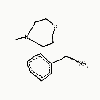 CN1CCOCC1.NCc1ccccc1